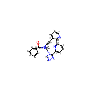 CC(C)n1cnnc1-c1cccc(-c2ncccc2C#CNC(=O)c2ccccc2)n1